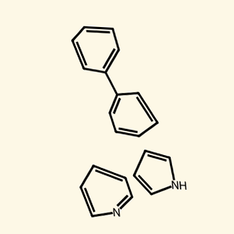 c1cc[nH]c1.c1ccc(-c2ccccc2)cc1.c1ccncc1